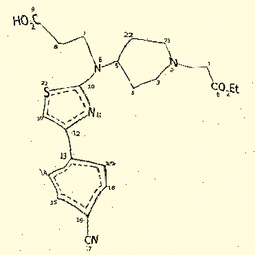 CCOC(=O)CN1CCC(N(CCC(=O)O)c2nc(-c3ccc(C#N)cc3)cs2)CC1